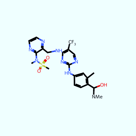 CNC(O)c1ccc(Nc2ncc(C(F)(F)F)c(NCc3nccnc3N(C)S(C)(=O)=O)n2)cc1C